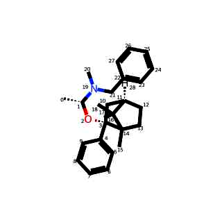 C[C@@H](O[C@]1(c2ccccc2)C[C@H]2CCC1(C)C2(C)C)N(C)Cc1ccccc1